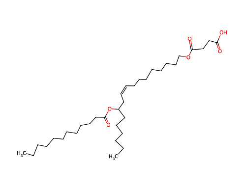 CCCCCCCCCCCC(=O)OC(C/C=C\CCCCCCCCOC(=O)CCC(=O)O)CCCCCC